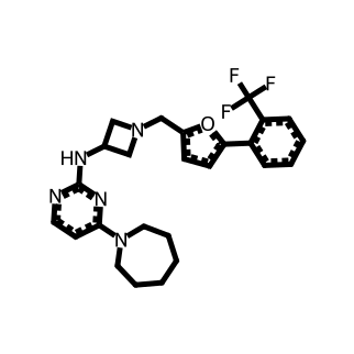 FC(F)(F)c1ccccc1-c1ccc(CN2CC(Nc3nccc(N4CCCCCC4)n3)C2)o1